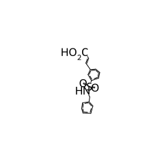 O=C(O)C=Cc1cccc(S(=O)(=O)NCc2ccccc2)c1